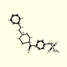 CS(=O)(=O)Nc1ccc(C(=O)C2CCN(CCc3ccccc3)CC2)cc1